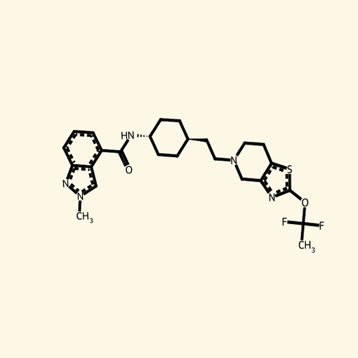 Cn1cc2c(C(=O)N[C@H]3CC[C@H](CCN4CCc5sc(OC(C)(F)F)nc5C4)CC3)cccc2n1